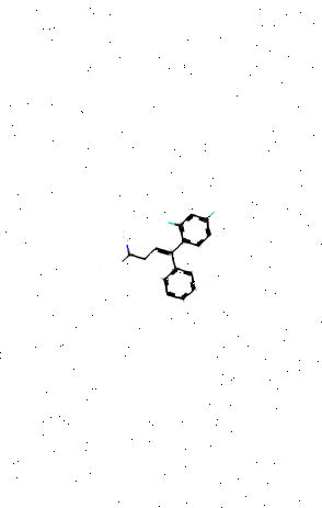 NC(C/C=C(\c1ccccc1)c1ccc(F)cc1F)C(=O)O